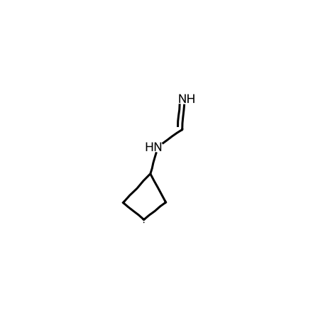 N=CNC1C[CH]C1